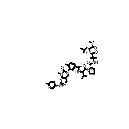 Cc1ccc(Nc2ncc3c(n2)N(C)C(=O)N(c2cc(C(=O)NC(C(=O)N4CCC[C@@H]4C(=O)NC(C)(C)C(=O)N[C@H](CC(C)C)C(=O)N(C)C)C(C)C)ccc2C)C3)cn1